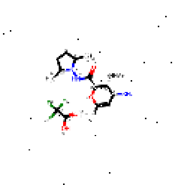 CC(=O)N[C@@H]1[C@@H](N)C=C(C(=O)O)O[C@H]1C(=O)NN1C(C)CCC1C.O=C(O)C(F)(F)F